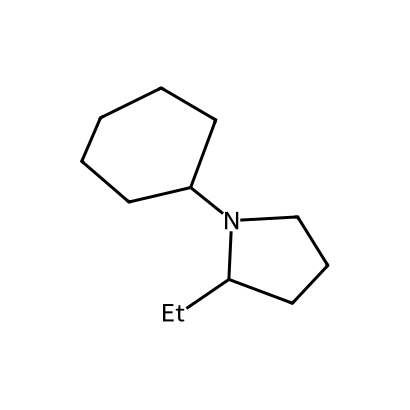 CCC1CCCN1C1CCCCC1